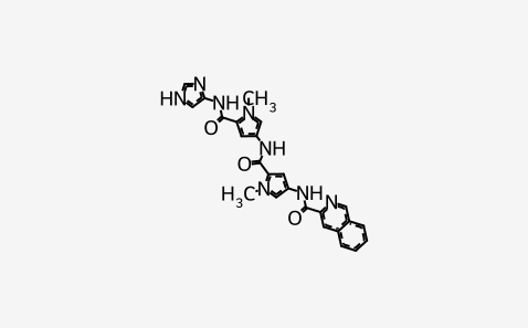 Cn1cc(NC(=O)c2cc3ccccc3cn2)cc1C(=O)Nc1cc(C(=O)Nc2c[nH]cn2)n(C)c1